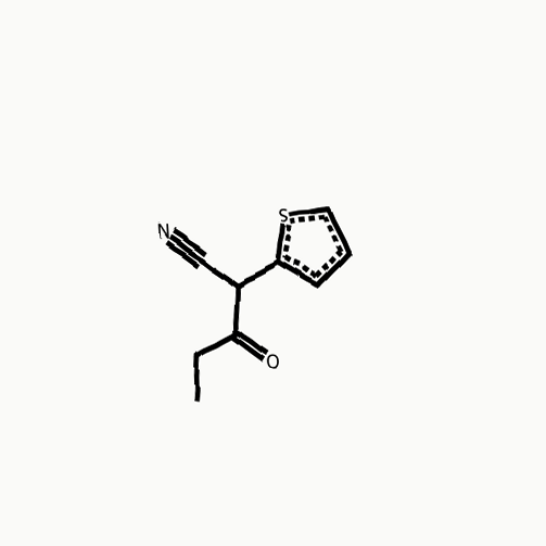 CCC(=O)C(C#N)c1cccs1